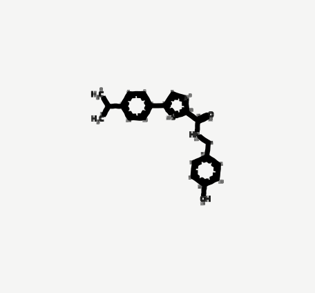 CC(C)c1ccc(-c2cnc(C(=O)NCc3ccc(O)cc3)s2)cc1